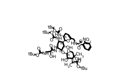 CN(C(=O)OC(C)(C)C)[C@@H]1[C@@H](O)[C@@H](O[C@@H]2[C@@H](O)[C@H](C3OC(CNS(=O)(=O)c4ccccc4[N+](=O)[O-])=CC[C@H]3NC(=O)OC(C)(C)C)[C@@H](NC(=O)OC(C)(C)C)C[C@H]2NC(=O)[C@@H](O)CNC(=O)OC(C)(C)C)OC[C@]1(C)O